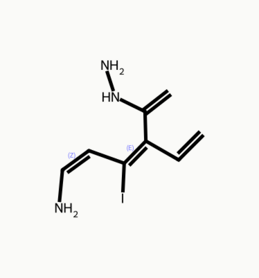 C=C/C(C(=C)NN)=C(I)/C=C\N